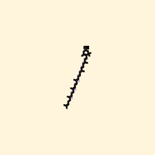 CC(C)=CCC/C(C)=C/C=C/C(C)=C/C=C/C(C)=C/C=C/C=C(C)/C=C/C=C(C)/C=C/C1=C(C)CC(O)CC1(C)C